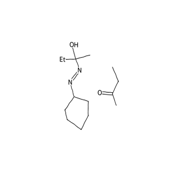 CCC(C)(O)N=NC1CCCCC1.CCC(C)=O